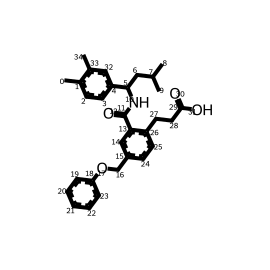 Cc1ccc(C(CC(C)C)NC(=O)c2cc(COc3ccccc3)ccc2CCC(=O)O)cc1C